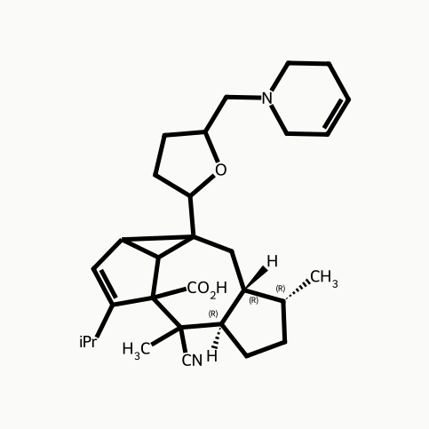 CC(C)C1=CC2C3C2(C2CCC(CN4CC=CCC4)O2)C[C@@H]2[C@H](C)CC[C@H]2C(C)(C#N)C13C(=O)O